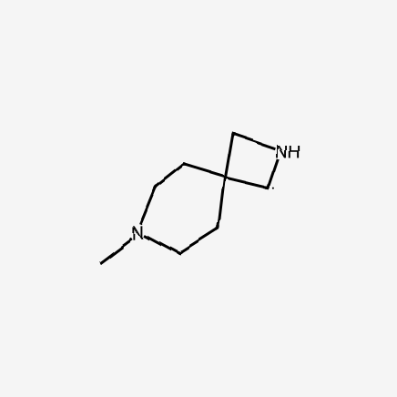 CN1CCC2([CH]NC2)CC1